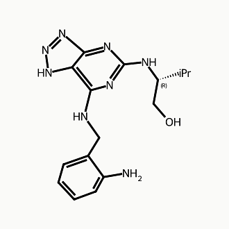 CC(C)[C@H](CO)Nc1nc(NCc2ccccc2N)c2[nH]nnc2n1